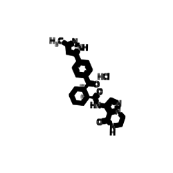 Cc1cc(-c2ccc(C(=O)[C@@H]3CCCC[C@H]3C(=O)Nc3cnn4c3C(=O)NCC4)cc2)[nH]n1.Cl